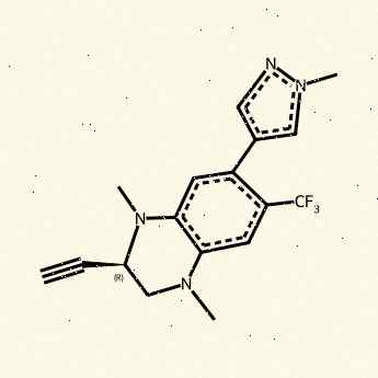 C#C[C@@H]1CN(C)c2cc(C(F)(F)F)c(-c3cnn(C)c3)cc2N1C